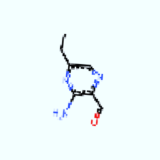 CCc1cnc(C=O)c(N)n1